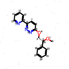 CO[C@@H](COc1ccc(-c2ccccn2)nn1)c1ccccc1